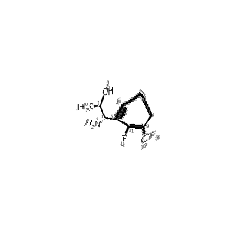 C[C@@H](O)[C@@H](N)c1cccc(C(F)(F)F)c1F